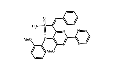 COc1ccccc1Oc1c(OC)nc(-c2ncccn2)nc1/C(=C\c1ccccc1)S(N)(=O)=O